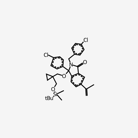 C=C(C)c1ccc2c(c1)C(=O)N(Cc1ccc(Cl)cc1)C2(OCC1(CO[Si](C)(C)C(C)(C)C)CC1)c1ccc(Cl)cc1